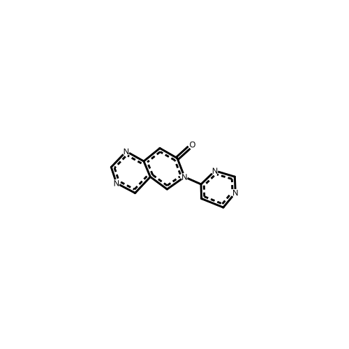 O=c1cc2ncncc2cn1-c1ccncn1